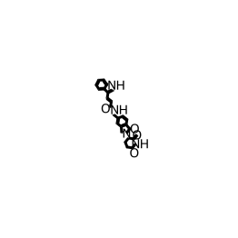 O=C(C=Cc1c[nH]c2ccccc12)NCc1ccc2c(c1)CN(C1CCC(=O)NC1=O)C2=O